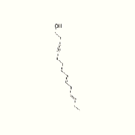 CCC=CCC=CCCCC#CCCO